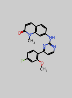 COc1cc(F)ccc1-c1ccnc(Nc2ccc3ccc(=O)n(C)c3c2)n1